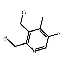 Cc1c(F)cnc(CCl)c1CCl